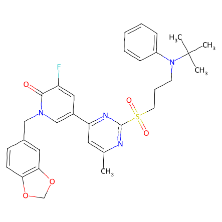 Cc1cc(-c2cc(F)c(=O)n(Cc3ccc4c(c3)OCO4)c2)nc(S(=O)(=O)CCCN(c2ccccc2)C(C)(C)C)n1